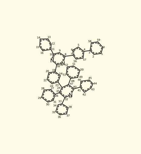 c1ccc(-c2ccc(-c3cc(-c4ccccc4)nc(-c4cccc(-c5c(-c6ccccc6)c(-c6ccccc6)nc(-c6ccccc6)c5-c5ccccc5)c4)n3)cc2)cc1